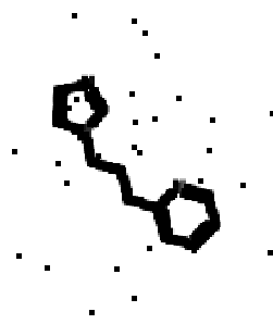 c1ccc(CCCn2ccnc2)nc1